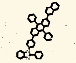 c1ccc(-c2c3ccc(-c4ccc5ccccc5c4)cc3c(-c3ccccc3)c3ccc(-c4ccc(-n5c(-c6ccccc6)nc6ccccc65)cc4)cc23)cc1